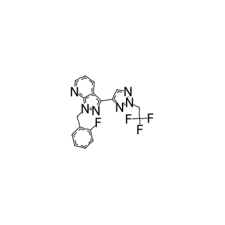 Fc1ccccc1Cn1nc(-c2cnn(CC(F)(F)F)n2)c2cccnc21